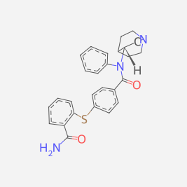 NC(=O)c1ccccc1Sc1ccc(C(=O)N(c2ccccc2)[C@H]2CN3CCC2CC3)cc1